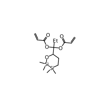 C=CC(=O)OC(CC)(OC(=O)C=C)C1CC[Si](C)(C)[Si](C)(C)O1